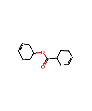 O=C(OC1CC=CCC1)C1CC=CCC1